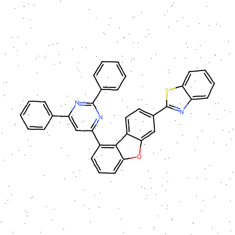 c1ccc(-c2cc(-c3cccc4oc5cc(-c6nc7ccccc7s6)ccc5c34)nc(-c3ccccc3)n2)cc1